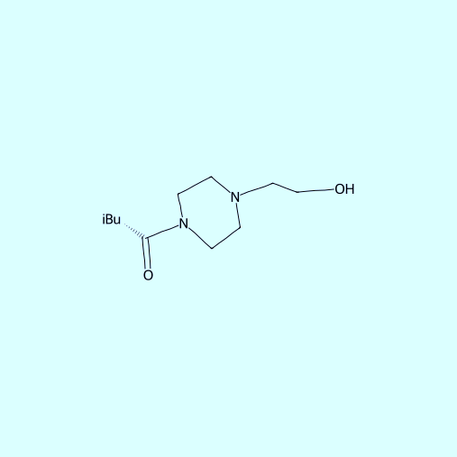 CC[C@@H](C)C(=O)N1CCN(CCO)CC1